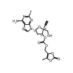 C#C[C@]1(CO)O[C@@H](n2cnc3c(N)nc(F)nc32)C[C@@H]1OC(=O)OCc1oc(=O)oc1C